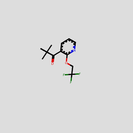 CC(C)(C)C(=O)c1cccnc1OCC(F)(F)F